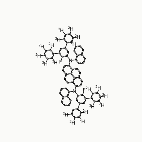 [2H]c1cc(-c2cc(-c3c([2H])c([2H])c([2H])c([2H])c3[2H])c(F)c(N(c3cccc4ccccc34)c3ccc4ccc5c(N(c6cc(-c7c([2H])c([2H])c([2H])c([2H])c7[2H])cc(-c7c([2H])c([2H])c([2H])c([2H])c7[2H])c6F)c6cccc7ccccc67)ccc6ccc3c4c65)c2)c([2H])c([2H])c1[2H]